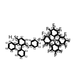 Fc1c(F)c(F)c([B-](c2c(F)c(F)c(F)c(F)c2F)(c2c(F)c(F)c(F)c(F)c2F)c2c(F)c(F)c(F)c(F)c2F)c(F)c1F.[SH2+]c1ccc(Sc2ccccc2)c(-c2ccccc2)c1-c1ccccc1